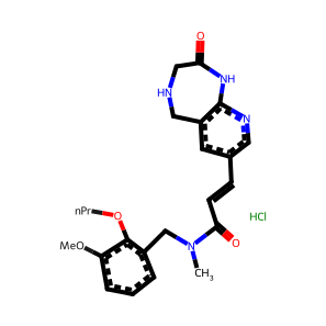 CCCOc1c(CN(C)C(=O)C=Cc2cnc3c(c2)CNCC(=O)N3)cccc1OC.Cl